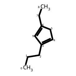 CCCC1=CCC(CC)=C1